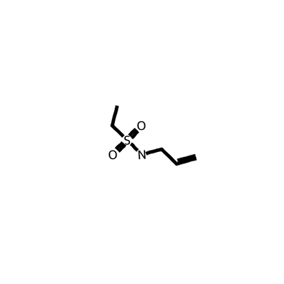 C=CC[N]S(=O)(=O)CC